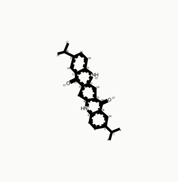 CC(C)c1ccc2[nH]c3cc4c(=O)c5cc(C(C)C)ccc5[nH]c4cc3c(=O)c2c1